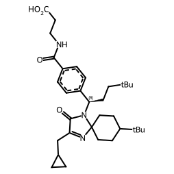 CC(C)(C)CC[C@H](c1ccc(C(=O)NCCC(=O)O)cc1)N1C(=O)C(CC2CC2)=NC12CCC(C(C)(C)C)CC2